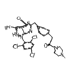 CC(C)c1[nH]n(-c2c(Cl)cc(Cl)cc2Cl)c2nc(Cc3ccc(CC(=O)N4CCN(C)CC4)cc3)nc(=O)c1-2